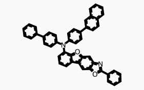 c1ccc(-c2ccc(N(c3ccc(-c4ccc5ccccc5c4)cc3)c3cccc4c3oc3cc5nc(-c6ccccc6)oc5cc34)cc2)cc1